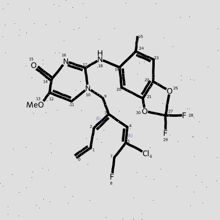 C=C/C=C(\C=C(\Cl)CF)Cn1cc(OC)c(=O)nc1Nc1cc2c(cc1C)OC(F)(F)O2